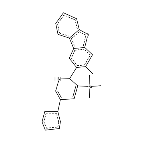 Cc1cc2sc3ccccc3c2cc1C1NC=C(c2ccccc2)C=C1[Si](C)(C)C